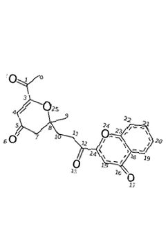 CC(=O)C1=CC(=O)CC(C)(CCC(=O)c2cc(=O)c3ccccc3o2)O1